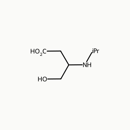 CC(C)NC(CO)CC(=O)O